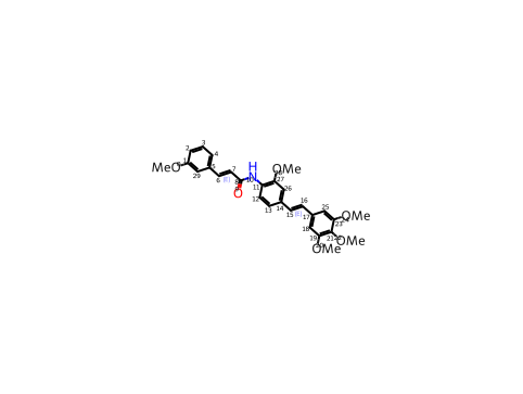 COc1cccc(/C=C/C(=O)Nc2ccc(/C=C/c3cc(OC)c(OC)c(OC)c3)cc2OC)c1